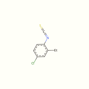 CCc1cc(Cl)ccc1N=C=S